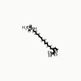 CC[Si](CC)(CC)c1occc1CCCCCCCCCCCCCNS(C)(=O)=O